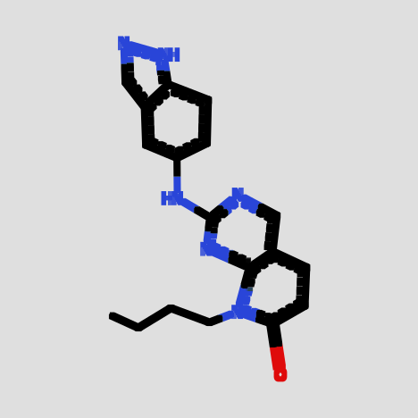 CCCCn1c(=O)ccc2cnc(Nc3ccc4[nH]ncc4c3)nc21